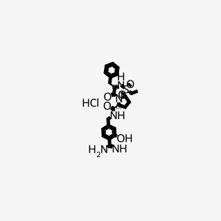 CCS(=O)(=O)N[C@H](Cc1ccccc1)C(=O)N1CCC[C@H]1C(=O)NCc1ccc(C(=N)N)c(O)c1.Cl